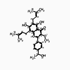 COc1c(-c2ccc(C(C)O)cc2)oc2c(CC=C(C)C)c(O)c(CC=C(C)C)c(O)c2c1=O